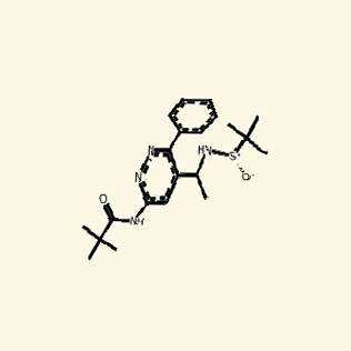 CC(N[S@@+]([O-])C(C)(C)C)c1cc(NC(=O)C(C)(C)C)nnc1-c1ccccc1